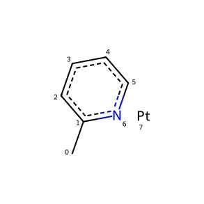 Cc1ccccn1.[Pt]